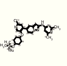 Cc1cc(Nc2cc3cc(-c4cc(Cl)ncc4OC4CCC(O[Si](C)(C)C(C)(C)C)CC4)ccn3n2)nc(C)n1